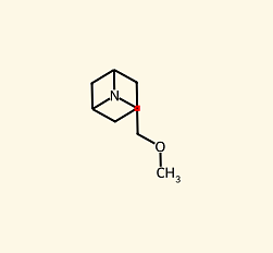 COCCN1C2CCCC1C2